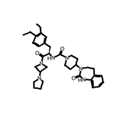 CCc1ccc(C[C@@H](NC(=O)N2CCC(N3CCc4ccccc4NC3=O)CC2)C(=O)N2CC(N3CCCC3)C2)cc1CC